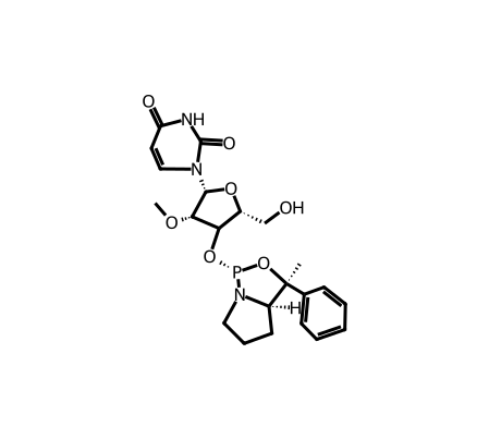 CO[C@H]1C(O[P@]2O[C@@](C)(c3ccccc3)[C@H]3CCCN32)[C@@H](CO)O[C@H]1n1ccc(=O)[nH]c1=O